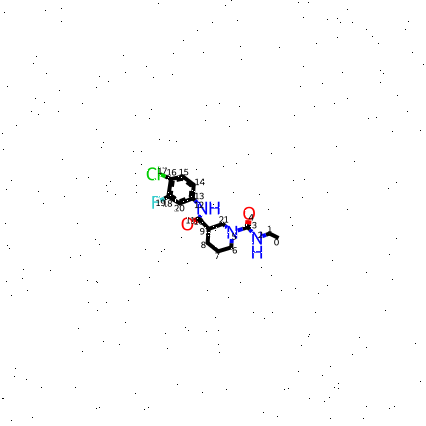 CCNC(=O)N1CCCC(C(=O)Nc2ccc(Cl)c(F)c2)C1